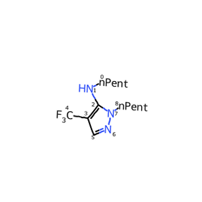 CCCCCNc1c(C(F)(F)F)cnn1CCCCC